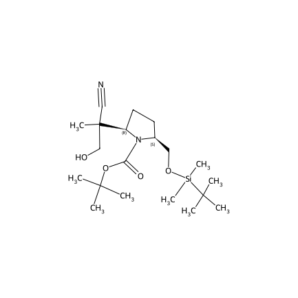 CC(C)(C)OC(=O)N1[C@H](CO[Si](C)(C)C(C)(C)C)CC[C@@H]1C(C)(C#N)CO